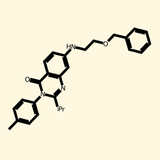 Cc1ccc(-n2c(C(C)C)nc3cc(NCCOCc4ccccc4)ccc3c2=O)cc1